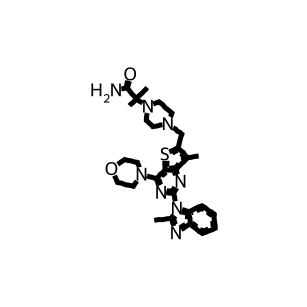 Cc1c(CN2CCN(C(C)(C)C(N)=O)CC2)sc2c(N3CCOCC3)nc(-n3c(C)nc4ccccc43)nc12